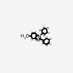 CC1C=Cc2c(nc(C3=CC=CCC3)n2C2=CCCCC2)C1